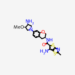 CO[C@@H]1CN(c2ccc3c(c2)OC[C@H](NC(=O)c2sc4nc(C)sc4c2N)C3)C[C@@H]1N